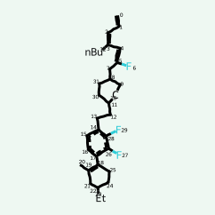 C=C/C=C(\C=C(\F)CC1CCC(CCc2ccc(C3=C(C)CC(CC)CC3)c(F)c2F)CC1)CCCC